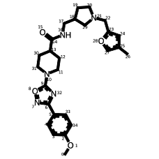 COc1ccc(-c2noc(N3CCC(C(=O)NCC4CCN(Cc5cc(C)co5)C4)CC3)n2)cc1